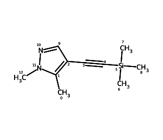 Cc1c(C#C[Si](C)(C)C)cnn1C